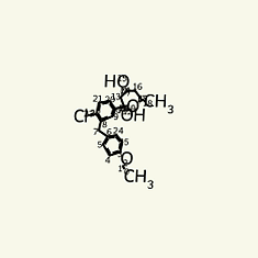 CCOc1ccc(Cc2cc([C@@]3(O)C[C@@H](O)C[C@@H](C)O3)ccc2Cl)cc1